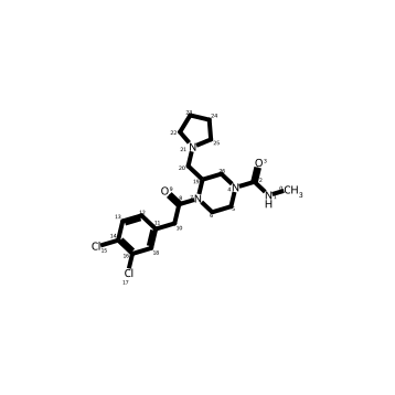 CNC(=O)N1CCN(C(=O)Cc2ccc(Cl)c(Cl)c2)C(CN2CCCC2)C1